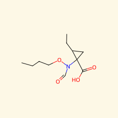 CCCCON(C=O)C1(C(=O)O)CC1CC